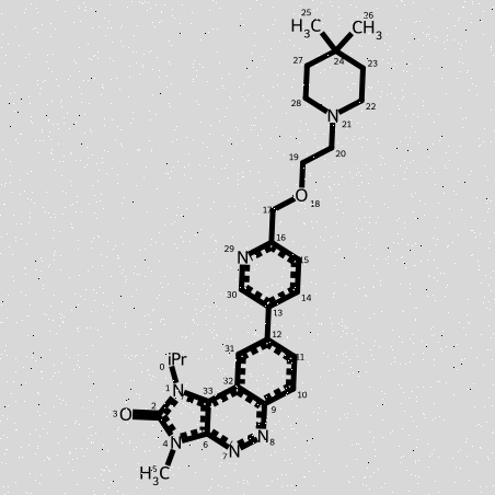 CC(C)n1c(=O)n(C)c2nnc3ccc(-c4ccc(COCCN5CCC(C)(C)CC5)nc4)cc3c21